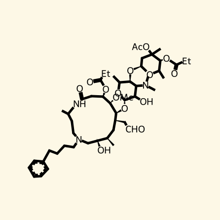 CCC(=O)O[C@@H]1C(C)O[C@@H](O[C@@H]2C(C)O[C@@H](O[C@H]3[C@@H](CC=O)C[C@@H](C)[C@@H](O)CN(CCCCc4ccccc4)CCC(C)NC(=O)C[C@@H](OC(=O)CC)[C@@H]3OC)C(O)C2N(C)C)CC1(C)OC(C)=O